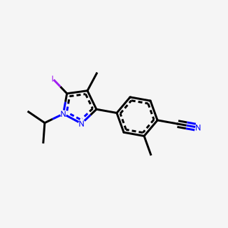 Cc1cc(-c2nn(C(C)C)c(I)c2C)ccc1C#N